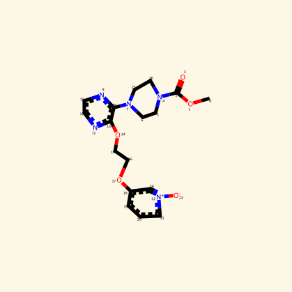 COC(=O)N1CCN(c2nccnc2OCCOc2ccc[n+]([O-])c2)CC1